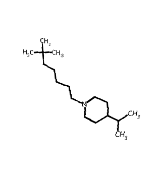 CC(C)C1CCN(CCCCCC(C)(C)C)CC1